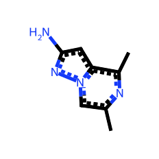 Cc1cn2nc(N)cc2c(C)n1